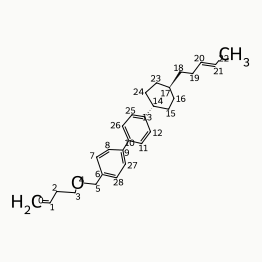 C=CCCOCc1ccc(-c2ccc([C@H]3CC[C@H](CC/C=C/C)CC3)cc2)cc1